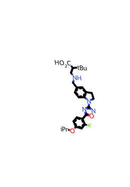 CC(C)Oc1ccc(-c2nc(N3CCc4cc(CNCC(C(=O)O)C(C)(C)C)ccc43)no2)c(F)c1